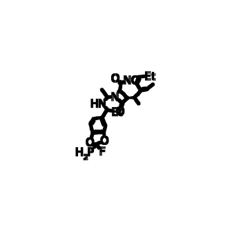 C/C=C(\C=C/CC)C(C)[C@H]1C(=O)N(C(C)NC(CC)c2ccc3c(c2)OC(F)(P)O3)C1C(=O)N=O